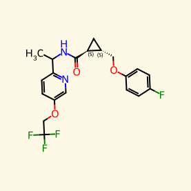 CC(NC(=O)[C@H]1C[C@@H]1COc1ccc(F)cc1)c1ccc(OCC(F)(F)F)cn1